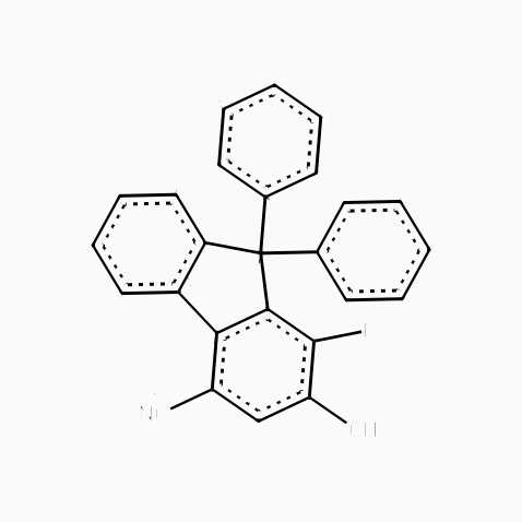 Cc1cc(C#N)c2c(c1F)C(c1ccccc1)(c1ccccc1)c1ccccc1-2